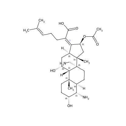 CC(=O)O[C@H]1C[C@@]2(C)[C@@H](C[C@@H](O)[C@H]3[C@@]4(C)CC[C@@H](O)[C@@H](N)[C@@H]4CC[C@@]32CN)/C1=C(\CCC=C(C)C)C(=O)O